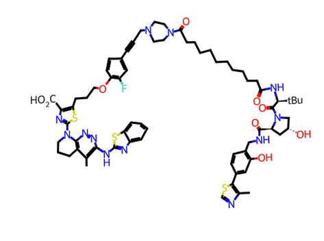 Cc1ncsc1-c1ccc(CNC(=O)[C@@H]2C[C@@H](O)CN2C(=O)[C@@H](NC(=O)CCCCCCCCCCC(=O)N2CCN(CC#Cc3ccc(OCCCc4sc(N5CCCc6c5nnc(Nc5nc7ccccc7s5)c6C)nc4C(=O)O)c(F)c3)CC2)C(C)(C)C)c(O)c1